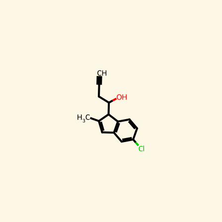 C#CCC(O)C1C(C)=Cc2cc(Cl)ccc21